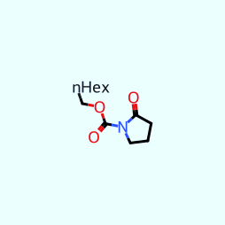 CCCCCCCOC(=O)N1CCCC1=O